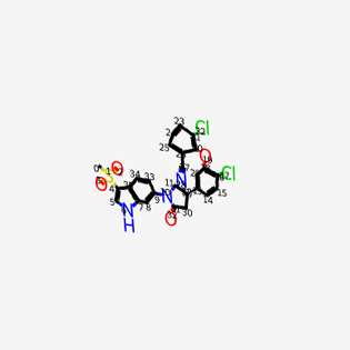 CS(=O)(=O)c1c[nH]c2cc(N3C[C@@H](c4ccc(Cl)c(Oc5c(Cl)cccc5C#N)c4)CC3=O)ccc12